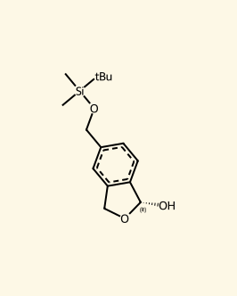 CC(C)(C)[Si](C)(C)OCc1ccc2c(c1)CO[C@H]2O